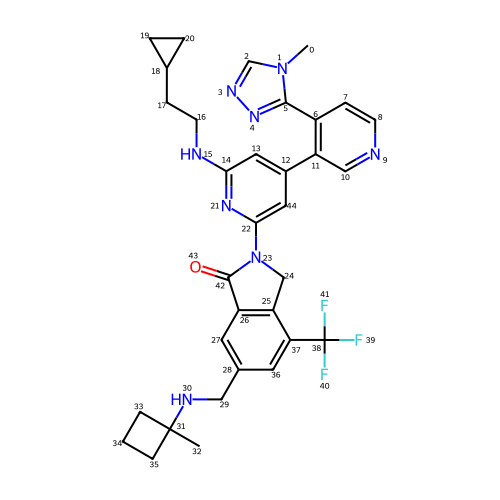 Cn1cnnc1-c1ccncc1-c1cc(NCCC2CC2)nc(N2Cc3c(cc(CNC4(C)CCC4)cc3C(F)(F)F)C2=O)c1